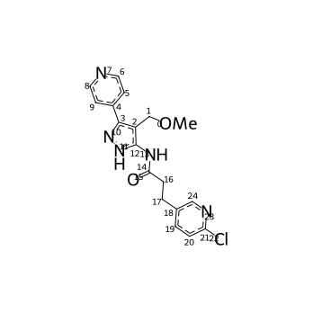 COCc1c(-c2ccncc2)n[nH]c1NC(=O)CCc1ccc(Cl)nc1